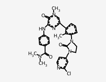 Cc1c(-c2cn(C)c(=O)c(Nc3ccc(C(=O)N(C)C)cc3)n2)cccc1N1CCN(c2ccnc(Cl)c2)C1=O